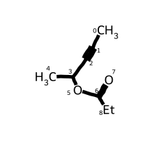 CC#CC(C)OC(=O)CC